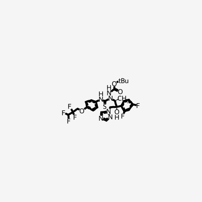 C[C@@H](N(NC(=O)OC(C)(C)C)C(=S)Nc1ccc(OCC(F)(F)C(F)F)cc1)[C@](O)(Cn1cncn1)c1ccc(F)cc1F